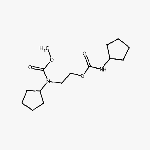 COC(=O)N(CCOC(=O)NC1CCCC1)C1CCCC1